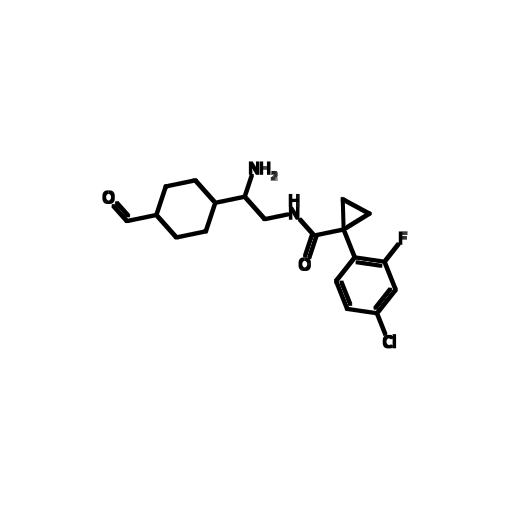 NC(CNC(=O)C1(c2ccc(Cl)cc2F)CC1)C1CCC(C=O)CC1